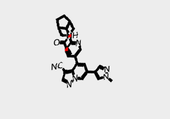 C#CC(=O)NC1C2CCC1CN(c1ccc(-c3cc(-c4cnn(C)c4)cn4ncc(C#N)c34)cn1)C2